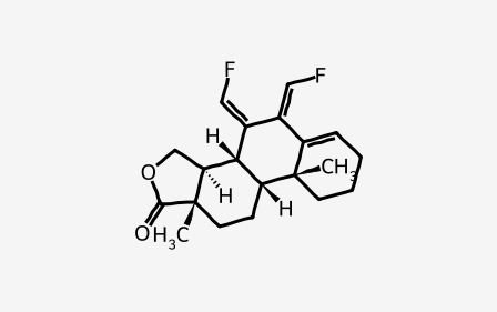 C[C@]12CCCC=C1C(=CF)C(=CF)[C@@H]1[C@H]2CC[C@]2(C)C(=O)OC[C@@H]12